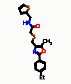 CCc1ccc(-c2nc(CSCC(=O)NCc3cccs3)c(C)o2)cc1